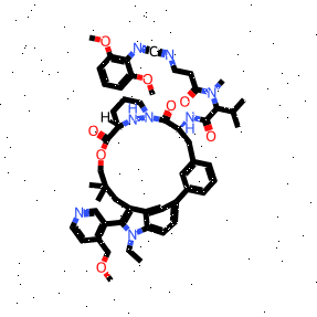 CCn1c(-c2cnccc2COC)c2c3cc(ccc31)-c1cccc(c1)C[C@H](NC(=O)C(C(C)C)N(C)C(=O)CCN=C=Nc1c(OC)cccc1OC)C(=O)N1CCC[C@H](N1)C(=O)OCC(C)(C)C2